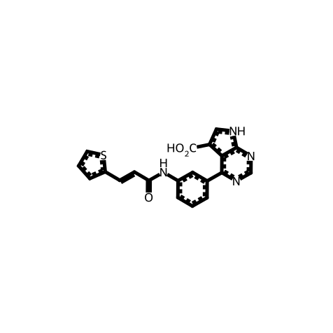 O=C(C=Cc1cccs1)Nc1cccc(-c2ncnc3[nH]cc(C(=O)O)c23)c1